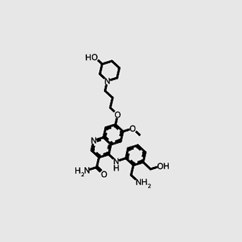 COc1cc2c(Nc3cccc(CO)c3CN)c(C(N)=O)cnc2cc1OCCCN1CCCC(O)C1